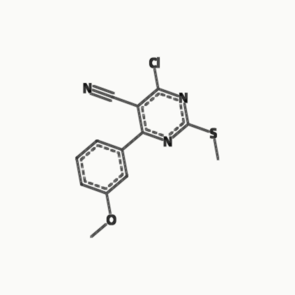 COc1cccc(-c2nc(SC)nc(Cl)c2C#N)c1